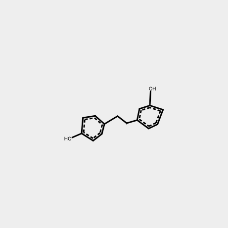 Oc1ccc(C[CH]c2cccc(O)c2)cc1